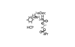 CCCCCCCCCCCC(Cc1ccccc1)NCCNC(=O)OCCOC(=O)C(C)C.Cl